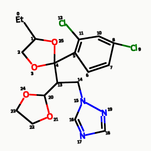 CCC1COC(c2ccc(Cl)cc2Cl)(C(Cn2cncn2)C2OCCO2)O1